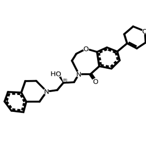 O=C1c2ccc(C3=CCOCC3)cc2OCCN1C[C@H](O)CN1CCc2ccccc2C1